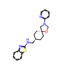 c1ccc(N2CO[C@]3(CC[C@H](CNc4nc5ccccc5s4)CC3)C2)nc1